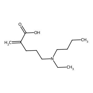 C=C(CCCN(CC)CCCC)C(=O)O